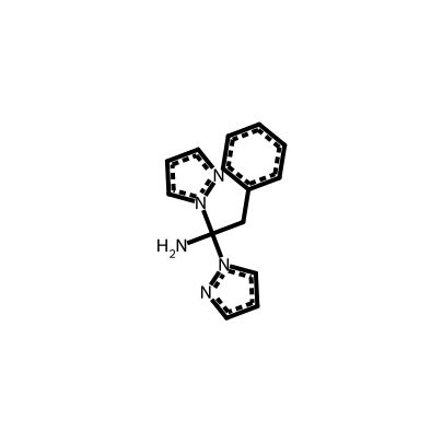 NC(Cc1ccccc1)(n1cccn1)n1cccn1